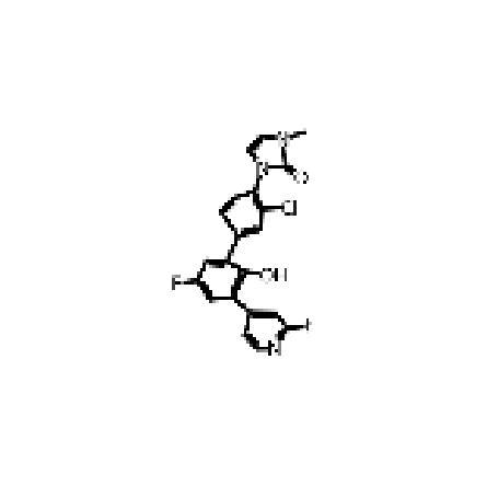 Cn1ccn(-c2ccc(-c3cc(F)cc(-c4ccnc(F)c4)c3O)cc2Cl)c1=O